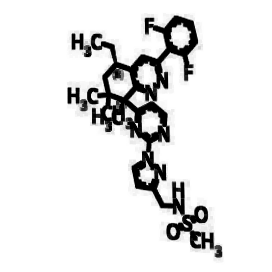 CC[C@@H]1CC(C)(C)[C@@](C)(c2ccnc(-n3ccc(CNS(C)(=O)=O)n3)n2)c2nnc(-c3c(F)cccc3F)cc21